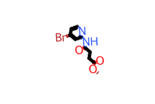 COC(=O)CCC(=O)Nc1cc(Br)ccn1